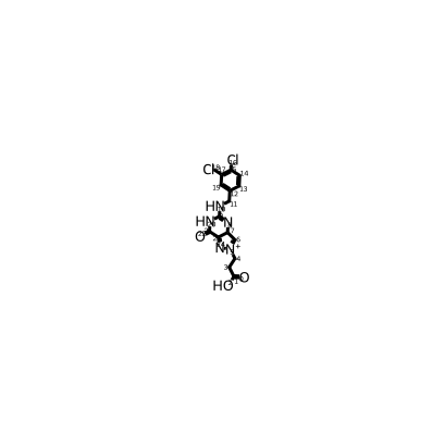 O=C(O)CC[N+]1=CC2N=C(NCc3ccc(Cl)c(Cl)c3)NC(=O)C2=N1